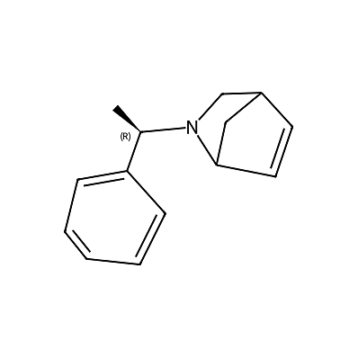 C[C@H](c1ccccc1)N1CC2C=CC1C2